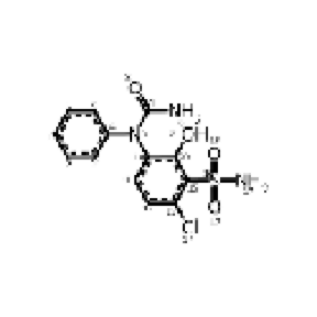 NC(=O)N(c1ccccc1)c1ccc(Cl)c(S(N)(=O)=O)c1O